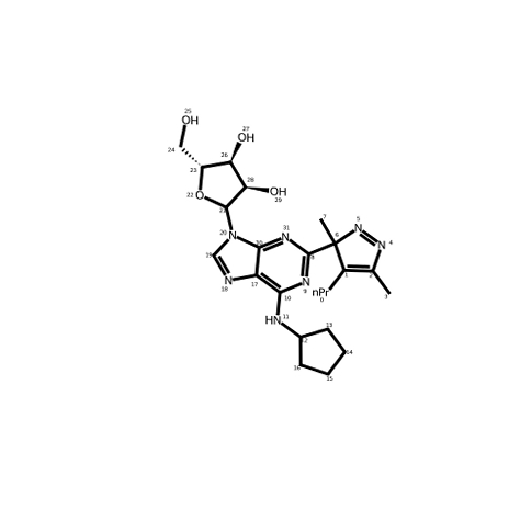 CCCC1=C(C)N=NC1(C)c1nc(NC2CCCC2)c2ncn(C3O[C@H](CO)[C@@H](O)[C@H]3O)c2n1